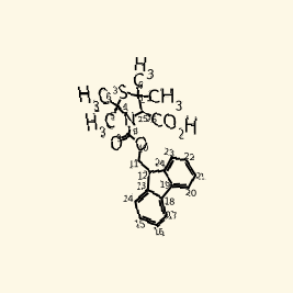 CC1(C)SC(C)(C)N(C(=O)OCC2c3ccccc3-c3ccccc32)[C@@H]1C(=O)O